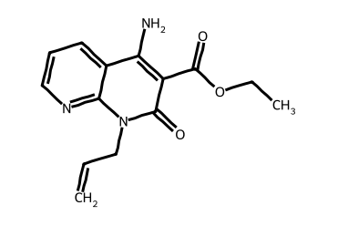 C=CCn1c(=O)c(C(=O)OCC)c(N)c2cccnc21